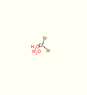 O.O.[Br][Cr][Br]